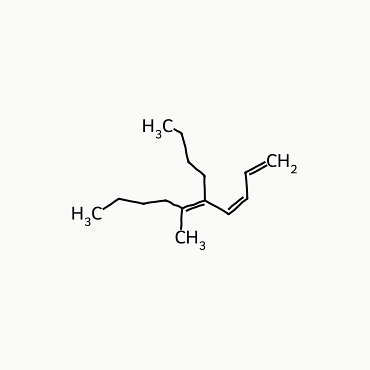 C=C/C=C\C(CCCC)=C(/C)CCCC